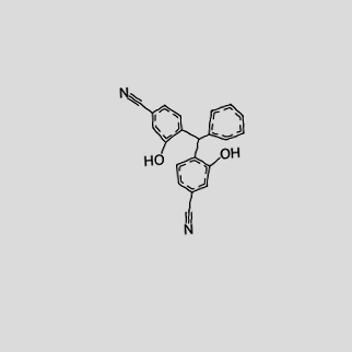 N#Cc1ccc(C(c2ccccc2)c2ccc(C#N)cc2O)c(O)c1